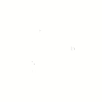 [O-][n+]1cccc(-c2cc(Br)ccc2F)c1